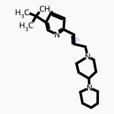 CC(C)(C)c1ccc(/C=C/CN2CCC(N3CCCCC3)CC2)nc1